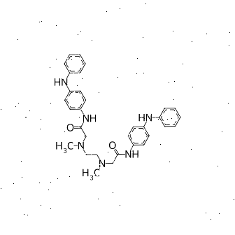 CN(CCN(C)CC(=O)Nc1ccc(Nc2ccccc2)cc1)CC(=O)Nc1ccc(Nc2ccccc2)cc1